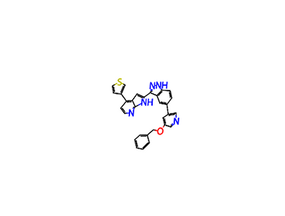 c1ccc(COc2cncc(-c3ccc4[nH]nc(-c5cc6c(-c7ccsc7)ccnc6[nH]5)c4c3)c2)cc1